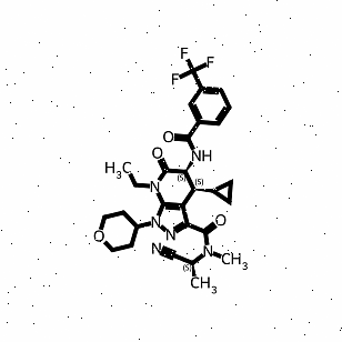 CCN1C(=O)[C@@H](NC(=O)c2cccc(C(F)(F)F)c2)[C@@H](C2CC2)c2c(C(=O)N(C)[C@@H](C)C#N)nn(C3CCOCC3)c21